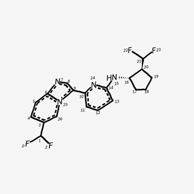 FC(F)c1ccc2ncc(-c3cccc(N[C@H]4CCC[C@@H]4C(F)F)n3)n2c1